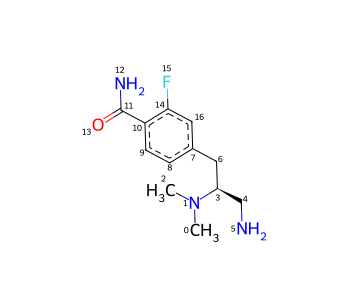 CN(C)[C@H](CN)Cc1ccc(C(N)=O)c(F)c1